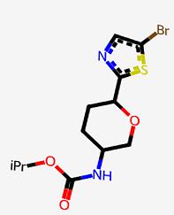 CC(C)OC(=O)NC1CCC(c2ncc(Br)s2)OC1